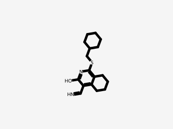 N=Cc1c(O)nc(SCC2CCCCC2)c2c1CCCC2